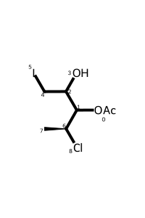 CC(=O)OC(C(O)CI)[C@H](C)Cl